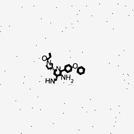 C=CC(=O)N1CC[C@@H](c2cc(C=N)c(N)c(-c3ccc(Oc4ccccc4)cc3)n2)C1